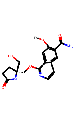 CC(C)Oc1cc2c(OC[C@@]3(CO)CCC(=O)N3)nccc2cc1C(N)=O